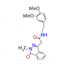 COc1ccc(CCNC(=O)Cc2nn(C)c(=O)c3ccccc23)cc1OC